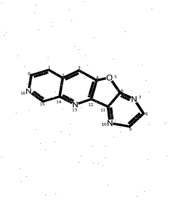 c1cc2cc3oc4nccnc4c3nc2cn1